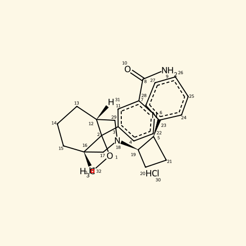 COC1(c2ccnc(C(N)=O)c2)[C@@H]2CCC[C@H]1CN([C@@H]1CC[C@@H]1c1ccccc1)C2.Cl